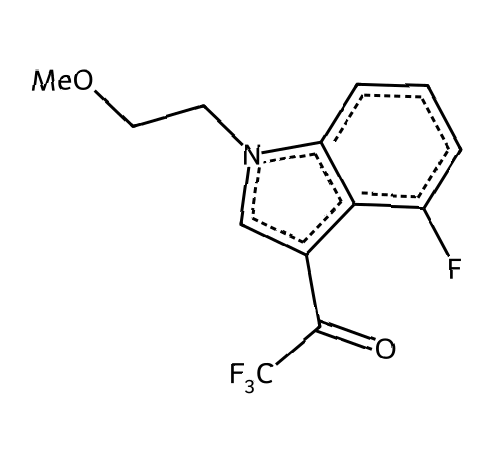 COCCn1cc(C(=O)C(F)(F)F)c2c(F)cccc21